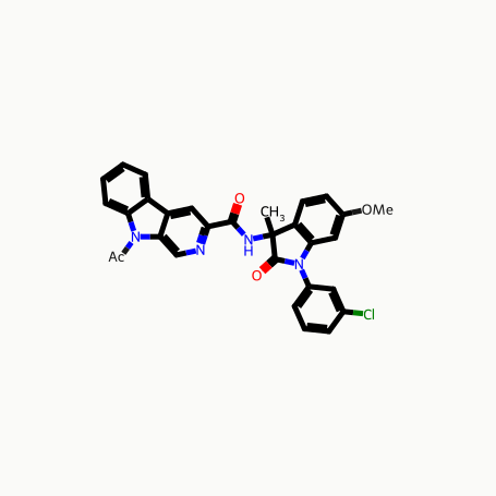 COc1ccc2c(c1)N(c1cccc(Cl)c1)C(=O)C2(C)NC(=O)c1cc2c3ccccc3n(C(C)=O)c2cn1